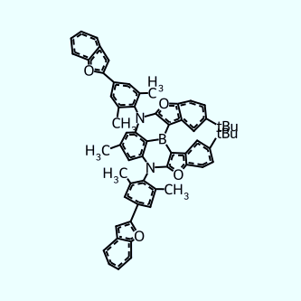 Cc1cc2c3c(c1)N(c1c(C)cc(-c4cc5ccccc5o4)cc1C)c1oc4ccc(C(C)(C)C)cc4c1B3c1c(oc3ccc(C(C)(C)C)cc13)N2c1c(C)cc(-c2cc3ccccc3o2)cc1C